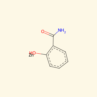 NC(=O)c1ccccc1O.[Zn]